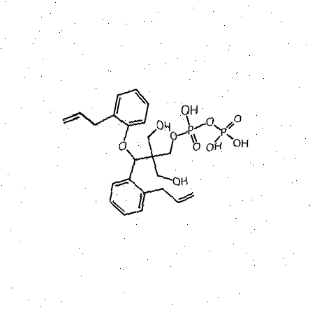 C=CCc1ccccc1OC(c1ccccc1CC=C)C(CO)(CO)COP(=O)(O)OP(=O)(O)O